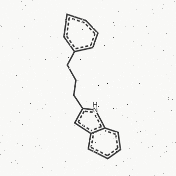 [CH](Cc1ccccc1)Cc1cc2ccccc2[nH]1